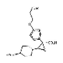 CCCCCCCCCCCCOc1ccc([C@@]2(C(=O)O)O[C@H]2[C@H]2CC[C@H](CCCCC)CC2)cc1